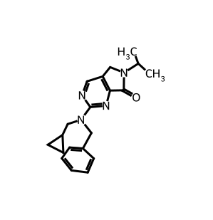 CC(C)N1Cc2cnc(N(Cc3ccccc3)CC3CC3)nc2C1=O